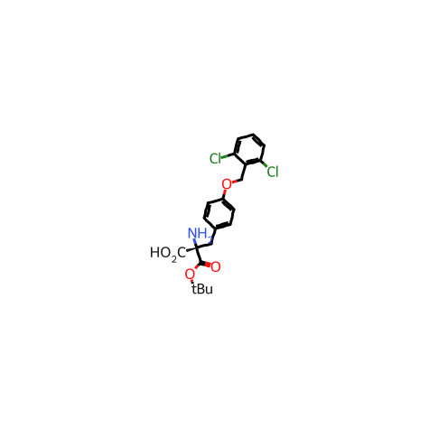 CC(C)(C)OC(=O)[C@](N)(Cc1ccc(OCc2c(Cl)cccc2Cl)cc1)C(=O)O